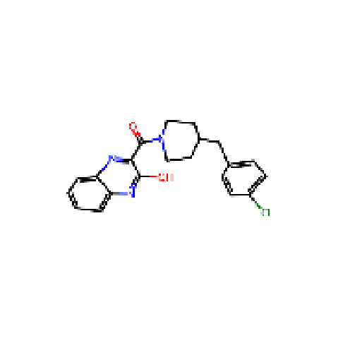 O=C(c1nc2ccccc2nc1O)N1CCC(Cc2ccc(Cl)cc2)CC1